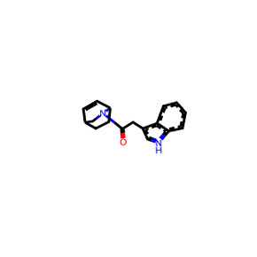 O=C(Cc1c[nH]c2ccccc12)N1CC2C=CC1CC2